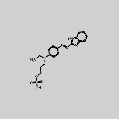 CCN(CCCOS(=O)(=O)O)c1ccc(N=Nc2nc3ccccc3[nH]2)cc1